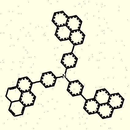 C1=CC2CC=c3ccc(-c4ccc(N(c5ccc(-c6ccc7ccc8cccc9ccc6c7c89)cc5)c5ccc(-c6ccc7ccc8cccc9ccc6c7c89)cc5)cc4)c4ccc(c2c34)=C1